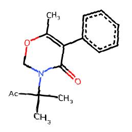 CC(=O)C(C)(C)N1COC(C)=C(c2ccccc2)C1=O